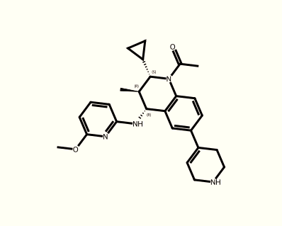 COc1cccc(N[C@H]2c3cc(C4=CCNCC4)ccc3N(C(C)=O)[C@@H](C3CC3)[C@@H]2C)n1